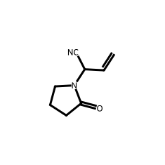 C=CC(C#N)N1CCCC1=O